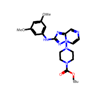 COc1cc(NC2=N[N+]3(N4CCN(C(=O)OC(C)(C)C)CC4)C=CN=CC3=N2)cc(OC)c1